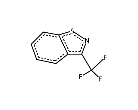 FC(F)(F)c1nsc2ccccc12